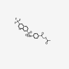 CC(=O)SCC(=O)c1ccc(NS(=O)(=O)c2ccc3cc(C(F)(F)F)cnc3c2)cc1